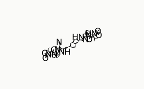 COC(=O)N[C@H](C(=O)N1CCC[C@H]1c1ncc(-c2ccc3cc(C#Cc4[nH]c([C@@H]5CCCN5C(=O)[C@@H](NC(=O)OC)C(C)C)nc4C#N)ccc3c2)[nH]1)C(C)C